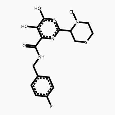 O=C(NCc1ccc(F)cc1)c1nc(C2CSCCN2Cl)nc(O)c1O